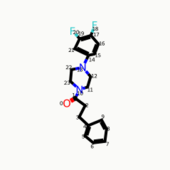 O=C(CCc1ccccc1)N1CCN(c2ccc(F)c(F)c2)CC1